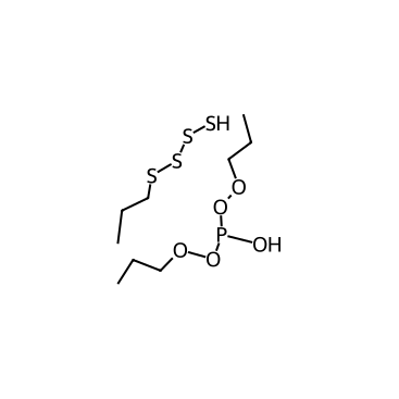 CCCOOP(O)OOCCC.CCCSSSS